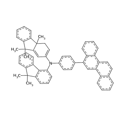 CC1(C)C2=CC(N(c3ccc(-c4cc5c6ccccc6ccc5c5ccccc45)cc3)c3cccc4c3-c3ccccc3C4(C)C)=CCC2(C)c2ccccc21